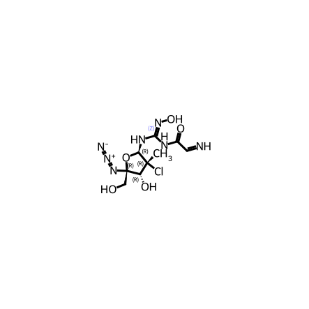 C[C@]1(Cl)[C@H](N/C(=N/O)NC(=O)C=N)O[C@@](CO)(N=[N+]=[N-])[C@H]1O